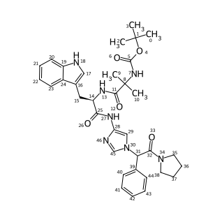 CC(C)(C)OC(=O)NC(C)(C)C(=O)N[C@H](Cc1c[nH]c2ccccc12)C(=O)Nc1cn(C(C(=O)N2CCCC2)c2ccccc2)cn1